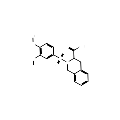 COc1ccc(S(=O)(=O)N2Cc3ccccc3CC2C(=O)O)cc1OC